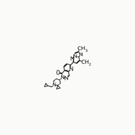 Cc1cn2nc(-c3ccc4c(=O)n(C5CCN(CC6CC6)C6(CC6)C5)ncc4n3)cc(C)c2n1